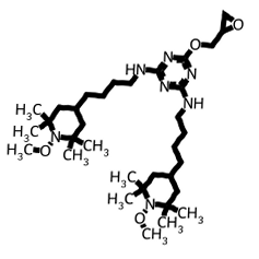 CON1C(C)(C)CC(CCCCNc2nc(NCCCCC3CC(C)(C)N(OC)C(C)(C)C3)nc(OCC3CO3)n2)CC1(C)C